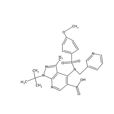 COc1ccc(S(=O)(=O)N(Cc2cccnc2)c2c(C(=O)O)cnc3c2c(C)nn3C(C)(C)C)cc1